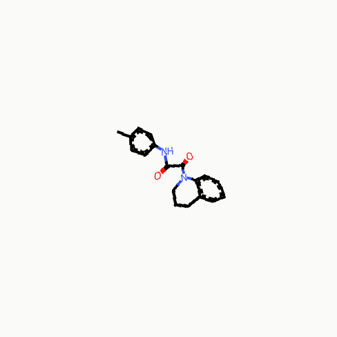 Cc1ccc(NC(=O)C(=O)N2CCCc3ccccc32)cc1